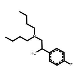 CCCCN(CCCC)CC(O)c1ccc(F)cc1